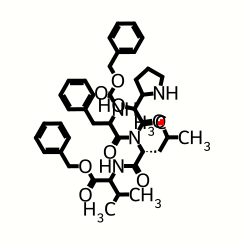 CC(C)C[C@H](C(=O)NC(C(=O)OCc1ccccc1)C(C)C)N(C(=O)C(Cc1ccccc1)NC(=O)OCc1ccccc1)C(=O)C(O)C1CCCN1